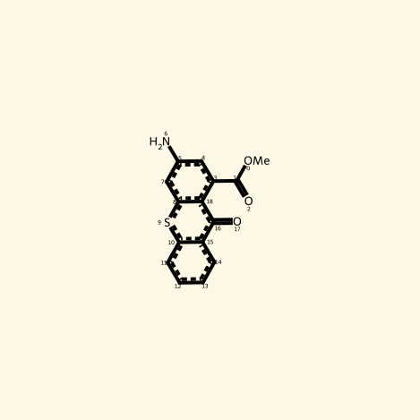 COC(=O)c1cc(N)cc2sc3ccccc3c(=O)c12